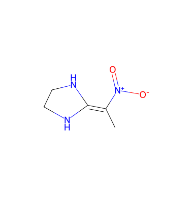 CC(=C1NCCN1)[N+](=O)[O-]